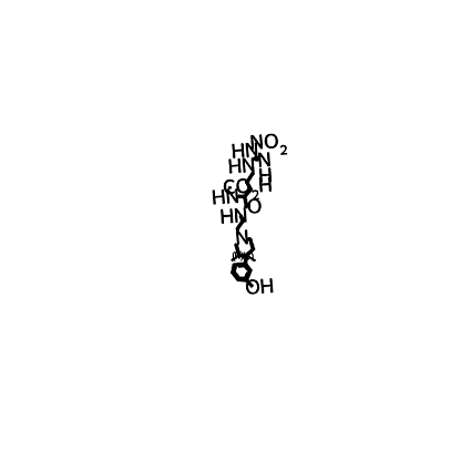 C[C@H]1CN(CCNC(=O)C(CCCNC(=N)N[N+](=O)[O-])NC(=O)O)CC[C@]1(C)c1cccc(O)c1